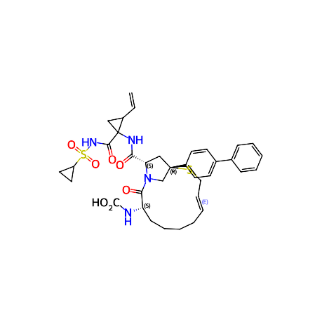 C=CC1CC1(NC(=O)[C@@H]1C[C@@]2(c3ccc(-c4ccccc4)cc3)CN1C(=O)[C@@H](NC(=O)O)CCCC/C=C/CS2)C(=O)NS(=O)(=O)C1CC1